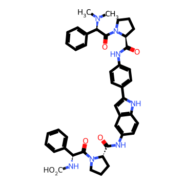 CN(C)[C@@H](C(=O)N1CCC[C@H]1C(=O)Nc1ccc(-c2cc3cc(NC(=O)[C@@H]4CCCN4C(=O)[C@H](NC(=O)O)c4ccccc4)ccc3[nH]2)cc1)c1ccccc1